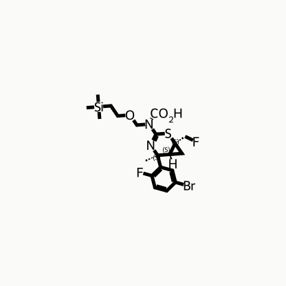 C[C@]1(c2cc(Br)ccc2F)N=C(N(COCC[Si](C)(C)C)C(=O)O)S[C@@]2(CF)C[C@H]21